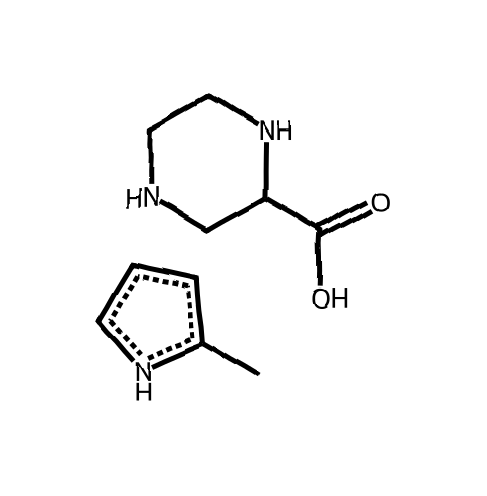 Cc1ccc[nH]1.O=C(O)C1CNCCN1